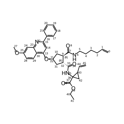 C=CCCCCNC(=O)[C@@H]1C[C@H](Oc2cc(-c3ccccc3)nc3cc(OC)ccc23)C[C@H]1C(=O)NC1(C(=O)OCC)CC1C=C